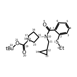 CCSc1ccccc1C(=O)N(CC1CC1)[C@H]1CCN(C(=O)OC(C)(C)C)C1